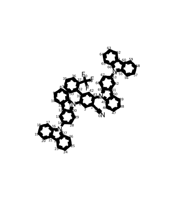 N#Cc1cc(-n2c3ccccc3c3cc(-n4c5ccccc5c5ccccc54)ccc32)c(-c2ccccc2C(F)(F)F)cc1-n1c2ccccc2c2cc(-n3c4ccccc4c4ccccc43)ccc21